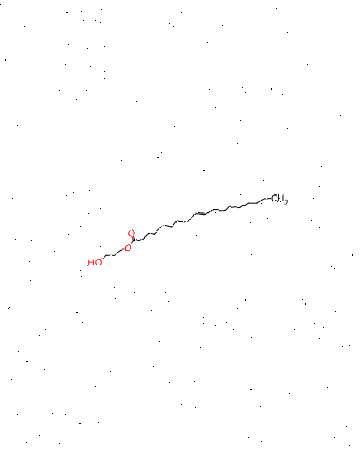 CCCCCCCC/C=C/CCCCCCCC(=O)OCCCO